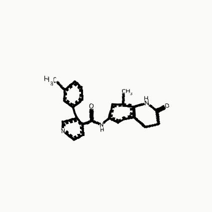 Cc1cccc(-c2cnccc2C(=O)Nc2cc(C)c3c(c2)CCC(=O)N3)c1